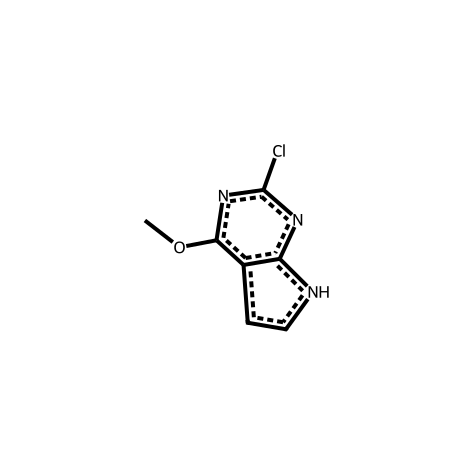 COc1nc(Cl)nc2[nH]ccc12